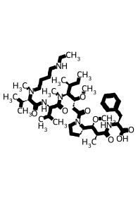 CCNCCCCN(C)[C@H](C(=O)N[C@H](C(=O)N(C)[C@@H]([C@@H](C)CC)[C@@H](CC(=O)N1CCC[C@H]1[C@H](OC)[C@@H](C)C(=O)N[C@@H](Cc1ccccc1)C(=O)O)OC)C(C)C)C(C)C